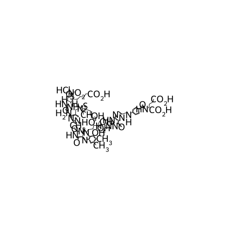 Cc1cc2nc3c(=O)[nH]c(=O)nc-3n(C[C@H](O)[C@H](O)[C@H](O)CO)c2cc1C.Cc1ncc(C[n+]2csc(CCO)c2C)c(N)n1.Cl.Nc1nc(=O)c2nc(CNc3ccc(C(=O)N[C@@H](CCC(=O)O)C(=O)O)cc3)cnc2[nH]1.O=C(O)CCCC[C@@H]1SC[C@@H]2NC(=O)N[C@@H]21.O=[N+]([O-])[O-]